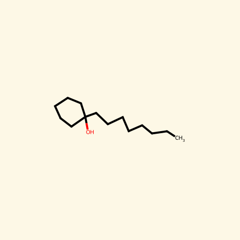 CCCCCCCCC1(O)CCCCC1